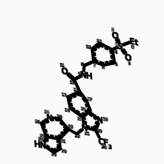 CCS(=O)(=O)c1ccc(CNC(=O)c2ccc3c(c2)nc(C(F)(F)F)n3Cc2cncc3[nH]ccc23)cc1